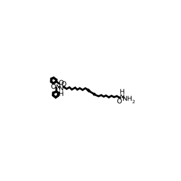 NNC(=O)CCCCCCCCC#CC#CCCCCCCCCC(=O)NN(C(=O)c1ccccc1)C(=O)c1ccccc1